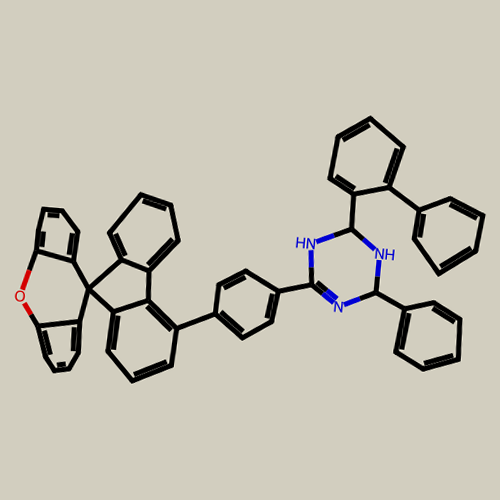 c1ccc(-c2ccccc2C2NC(c3ccc(-c4cccc5c4-c4ccccc4C54c5ccccc5Oc5ccccc54)cc3)=NC(c3ccccc3)N2)cc1